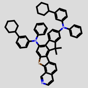 CC1(C)c2cc(N(c3ccccc3)c3cccc(C4CCCCC4)c3)ccc2-c2c(N(c3ccccc3)c3cccc(C4CCCCC4)c3)cc3sc4c5cnccc5ccc4c3c21